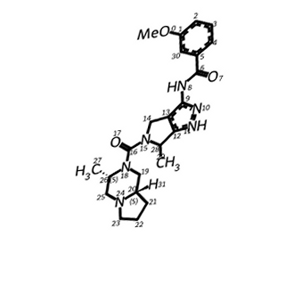 COc1cccc(C(=O)Nc2n[nH]c3c2CN(C(=O)N2C[C@@H]4CCCN4C[C@@H]2C)C3C)c1